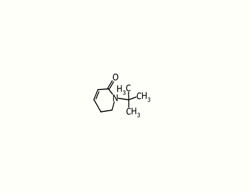 CC(C)(C)N1CCC=CC1=O